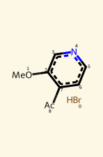 Br.COc1cnccc1C(C)=O